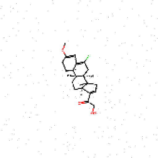 COC1=CC2=C(Cl)C[C@@H]3[C@H](CC[C@]4(C)C(C(=O)CO)=CC[C@@H]34)[C@@]2(C)CC1